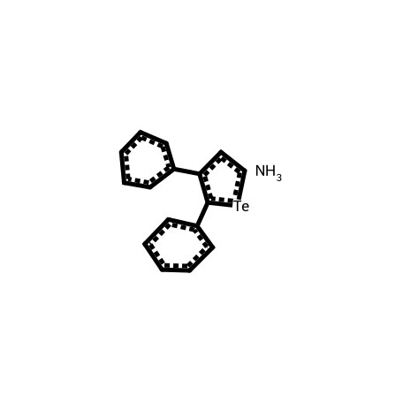 N.c1ccc(-c2cc[te]c2-c2ccccc2)cc1